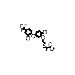 COC(=O)C(C)SCCOc1cc(Oc2ccc(C(F)(F)F)cc2Cl)ccc1Cl